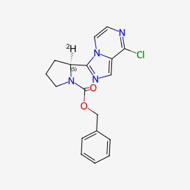 [2H][C@@]1(c2ncc3c(Cl)nccn23)CCCN1C(=O)OCc1ccccc1